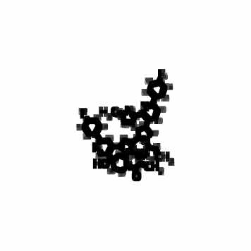 C=CC(=O)N1CCC(O)(c2cnc(-c3ccc(F)cc3)cc2-c2cc(C3CC(c4ccc(-c5ccc(F)cc5)nc4-c4ccn(C)n4)CN3C(O)C=C)n(C)n2)CC1